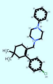 CC1(C)CCC(CN2CCN(c3cc[c]cc3)CC2)=C(c2ccc(Cl)cc2)C1